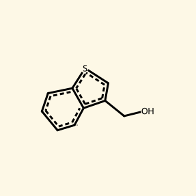 OCc1csc2ccc[c]c12